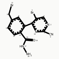 N#Cc1ncc(Br)c(-c2cc(CBr)ccc2C(=O)NN)n1